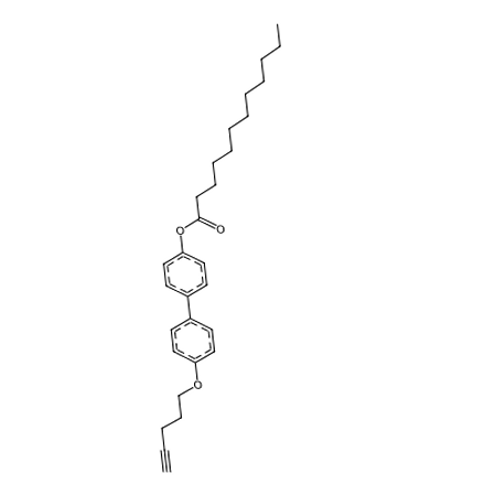 C#CCCCOc1ccc(-c2ccc(OC(=O)CCCCCCCCCCC)cc2)cc1